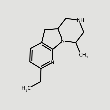 CCc1ccc2c(n1)N1C(C)CNCC1C2